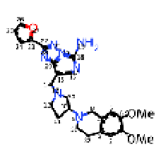 COc1cc2c(cc1OC)CN(C1CCN(Cc3cnc(N)n4nc(-c5ccco5)nc34)C1)CC2